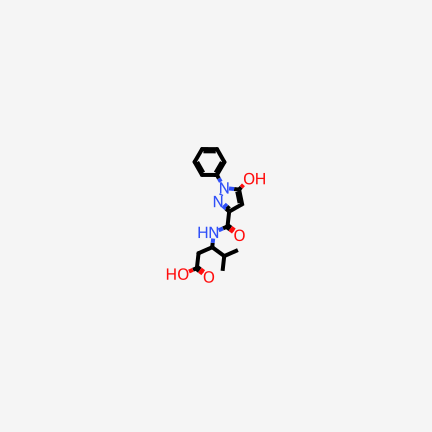 CC(C)C(CC(=O)O)NC(=O)c1cc(O)n(-c2ccccc2)n1